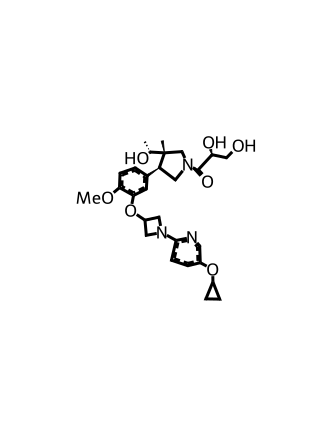 COc1ccc([C@@H]2CN(C(=O)[C@@H](O)CO)C[C@@]2(C)[C@@H](C)O)cc1OC1CN(c2ccc(OC3CC3)cn2)C1